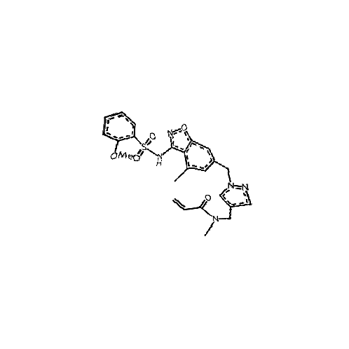 C=CC(=O)N(C)Cc1cnn(Cc2cc(C)c3c(NS(=O)(=O)c4ccccc4OC)noc3c2)c1